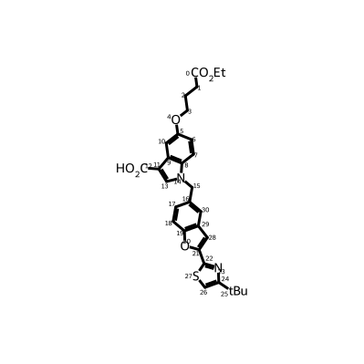 CCOC(=O)CCCOc1ccc2c(c1)c(C(=O)O)cn2Cc1ccc2oc(-c3nc(C(C)(C)C)cs3)cc2c1